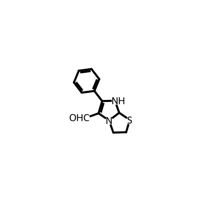 O=CC1=C(c2ccccc2)NC2SCCN12